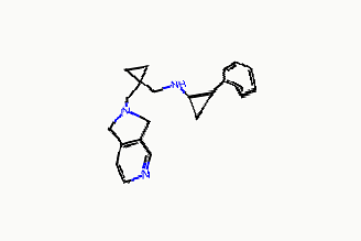 c1ccc(C2CC2NCC2(CN3Cc4ccncc4C3)CC2)cc1